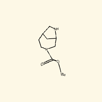 CC(C)(C)OC(=O)N1CCC2CNC(C2)C1